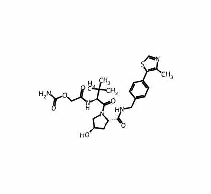 Cc1ncsc1-c1ccc(CNC(=O)[C@@H]2C[C@@H](O)CN2C(=O)[C@@H](NC(=O)COC(N)=O)C(C)(C)C)cc1